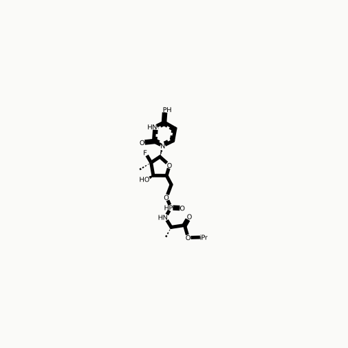 CC(C)OC(=O)[C@H](C)N[PH](=O)OCC1O[C@@H](n2ccc(=P)[nH]c2=O)[C@](C)(F)[C@@H]1O